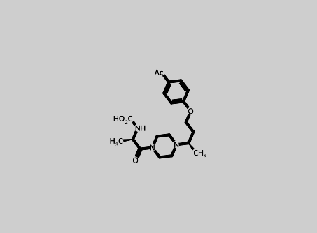 CC(=O)c1ccc(OCC[C@@H](C)N2CCN(C(=O)[C@@H](C)NC(=O)O)CC2)cc1